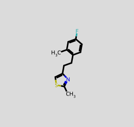 Cc1nc(CCc2ccc(F)cc2C)cs1